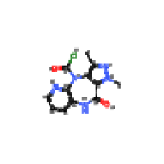 Cc1nn(C)c2c1N(C(=O)Cl)c1ncccc1NC2=O